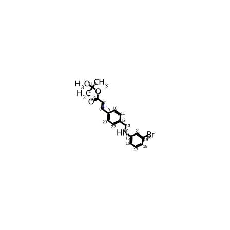 CC(C)(C)OC(=O)/C=C/c1ccc(CNc2cccc(Br)c2)cc1